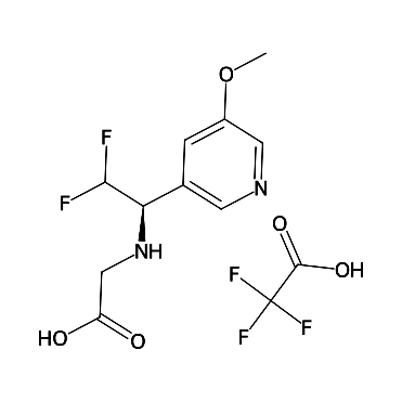 COc1cncc([C@@H](NCC(=O)O)C(F)F)c1.O=C(O)C(F)(F)F